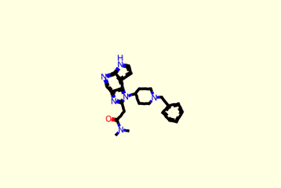 CN(C)C(=O)Cc1nc2cnc3[nH]ccc3c2n1C1CCN(Cc2ccccc2)CC1